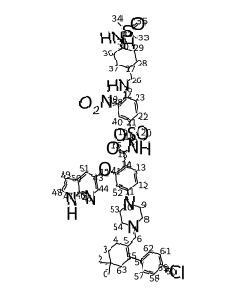 CC1(C)CCC(CN2CCN(c3ccc(C(=O)NS(=O)(=O)c4ccc(NCC5CCC(N[SH](C)(C)=O)CC5)c([N+](=O)[O-])c4)c(Oc4cnc5[nH]ccc5c4)c3)CC2)=C(c2ccc(Cl)cc2)C1